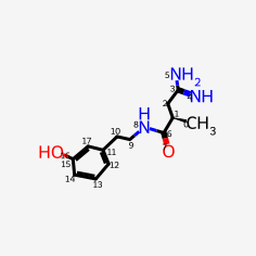 C[C@H](CC(=N)N)C(=O)NCCc1cccc(O)c1